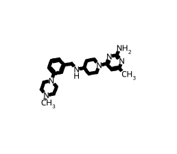 Cc1cc(N2CCC(NCc3cccc(N4CCN(C)CC4)c3)CC2)nc(N)n1